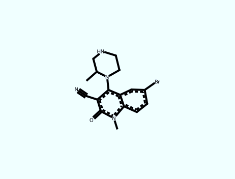 CC1CNCCN1c1c(C#N)c(=O)n(C)c2ccc(Br)cc12